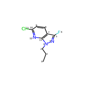 CCCn1nc(F)c2ccc(Cl)nc21